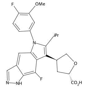 COc1cc(-n2c(C(C)C)c([C@H]3CO[C@H](C(=O)O)C3)c3c(F)c4[nH]ncc4cc32)ccc1F